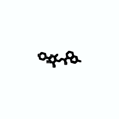 Cc1ccc2c(c1)CCCN2C(=O)CCc1c(C)nc(N2CCOCC2)[nH]c1=O